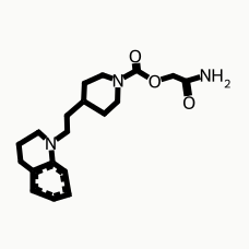 NC(=O)COC(=O)N1CCC(CCN2CCCc3ccccc32)CC1